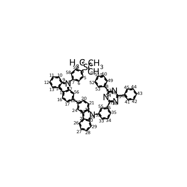 C[Si](C)(C)c1ccc(-n2c3ccccc3c3ccc(-c4ccc5c(c4)c4ccccc4n5-c4cccc(-c5nc(-c6ccccc6)nc(-c6ccccc6)n5)c4)cc32)cc1